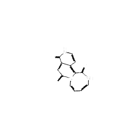 O=C1N/C=C\C=C/n2c1c1cc[nH]c(=O)c1cc2=O